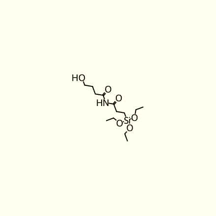 CCO[Si](CCC(=O)NC(=O)CCCO)(OCC)OCC